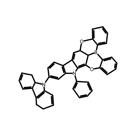 C1=CCC2C(=C1)C1=C(C=CCC1)N2c1ccc2c3c(n(-c4ccccc4)c2c1)=C1Oc2ccccc2B2c4ccccc4OC(C=3)C21